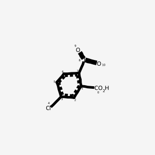 O=C(O)c1cc(Cl)ccc1I(=O)=O